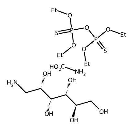 CCOP(=S)(OCC)OP(=S)(OCC)OCC.NC(=O)O.NC[C@H](O)[C@@H](O)[C@H](O)[C@H](O)CO